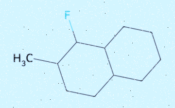 CC1CCC2CCCCC2C1F